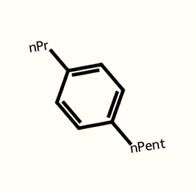 [CH2]CCCCc1ccc(CCC)cc1